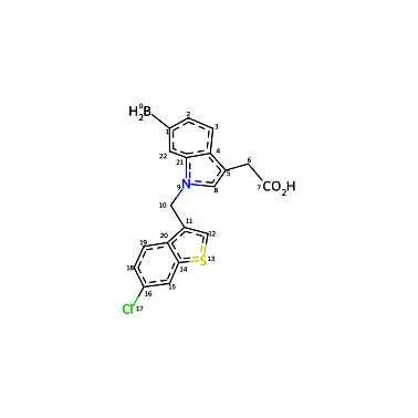 Bc1ccc2c(CC(=O)O)cn(Cc3csc4cc(Cl)ccc34)c2c1